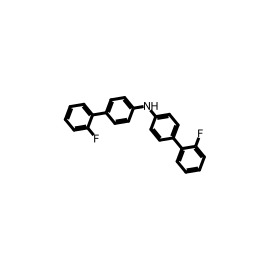 Fc1ccccc1-c1ccc(Nc2ccc(-c3ccccc3F)cc2)cc1